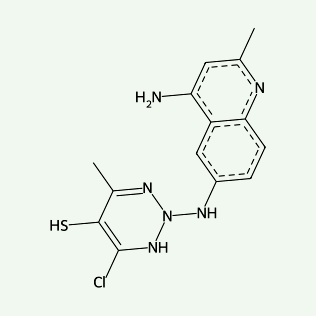 CC1=NN(Nc2ccc3nc(C)cc(N)c3c2)NC(Cl)=C1S